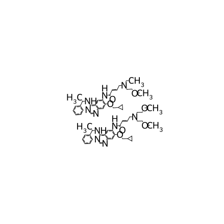 CCN(CC=CC(=O)Nc1cc2c(NC(C)c3ccccc3)ncnc2cc1OCC1CC1)CCOC.COCCN(CC=CC(=O)Nc1cc2c(NC(C)c3ccccc3)ncnc2cc1OCC1CC1)CCOC